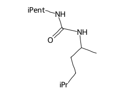 CCCC(C)NC(=O)NC(C)CCC(C)C